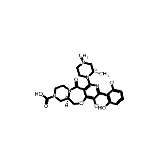 C[C@H]1CN(C)CCN1c1nc(-c2c(O)cccc2Cl)c(Cl)c2c1C(=O)N1CCN(C(=O)O)C[C@@H]1CO2